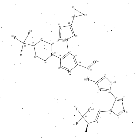 C[C@H](/C=C/n1cnnc1-c1nc(NC(=O)c2cc(-n3cnc(C4CC4)c3)c(N3CCC(C(F)(F)F)CC3)cn2)cs1)C(F)(F)F